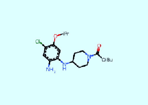 CC(C)COC(=O)N1CCC(Nc2cc(OC(C)C)c(Cl)cc2N)CC1